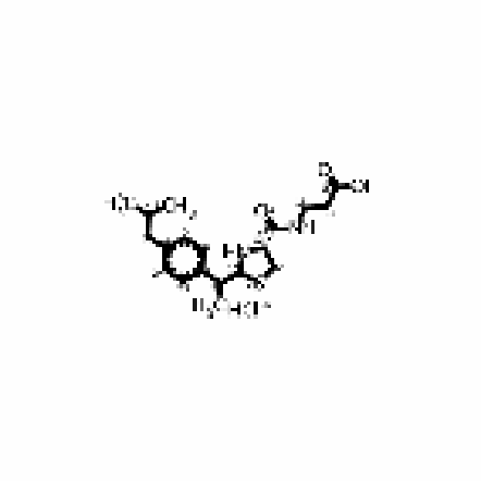 CC(C)Cc1ccc(C(C)C2N[C@H](C(=O)NCCC(=O)O)CS2)cc1.Cl